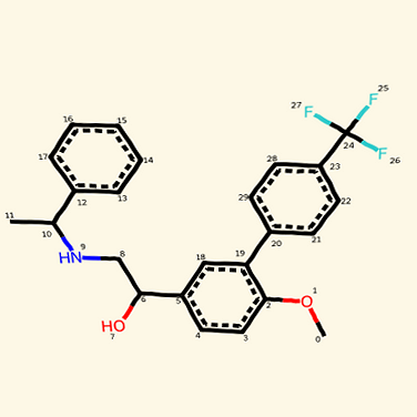 COc1ccc(C(O)CNC(C)c2ccccc2)cc1-c1ccc(C(F)(F)F)cc1